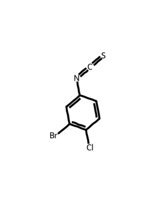 S=C=Nc1ccc(Cl)c(Br)c1